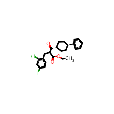 CCOC(=O)C(Cc1ccc(F)cc1Cl)C(=O)[C@H]1CC[C@H](c2ccccc2)CC1